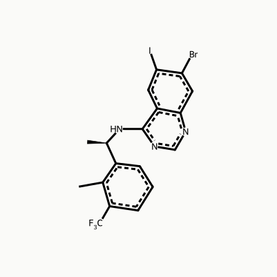 Cc1c([C@@H](C)Nc2ncnc3cc(Br)c(I)cc23)cccc1C(F)(F)F